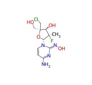 C[C@@]1(F)[C@H](O)[C@](CO)(CCl)O[C@H]1n1ccc(N)n/c1=N\O